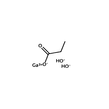 CCC(=O)[O-].[Ga+3].[OH-].[OH-]